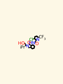 CC(C)C(CO)N1Cc2cccc(NC(=O)c3nc(C(F)(F)F)ccc3Cl)c2C1=O